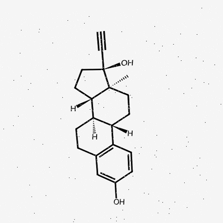 C#C[C@@]1(O)CC[C@H]2[C@@H]3CCc4cc(O)ccc4[C@H]3CC[C@@]21C